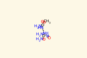 COC(=O)c1ccc(NC/C=C/CNc2c(N)cc(C(N)=O)cc2CN2CCOCC2)c(N)c1